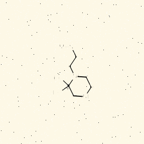 CNCCN1CCNCC1(C)C